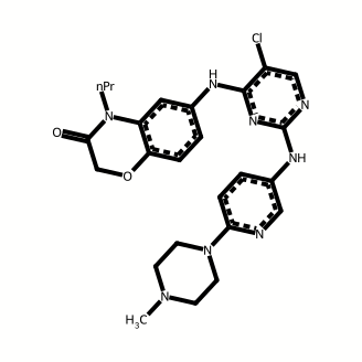 CCCN1C(=O)COc2ccc(Nc3nc(Nc4ccc(N5CCN(C)CC5)nc4)ncc3Cl)cc21